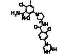 Cc1cc(N2CC[C@@H](NC(=O)c3ccc(N(C=N)C=N)cc3Cl)C2)c2onc(N)c2c1Cl